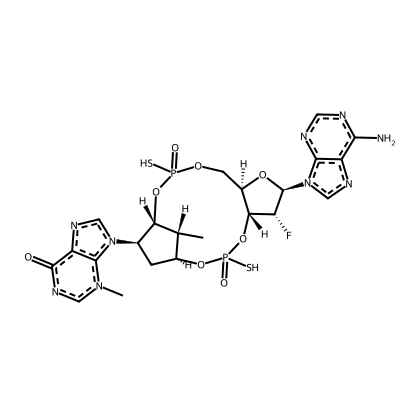 C[C@H]1[C@H]2OP(=O)(S)OC[C@H]3O[C@@H](n4cnc5c(N)ncnc54)[C@H](F)[C@@H]3OP(=O)(S)O[C@H]1C[C@H]2n1cnc2c(=O)ncn(C)c21